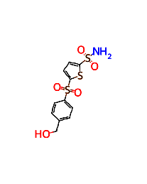 NS(=O)(=O)c1ccc(S(=O)(=O)c2ccc(CO)cc2)s1